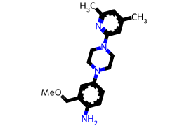 COCc1cc(N2CCN(c3cc(C)cc(C)n3)CC2)ccc1N